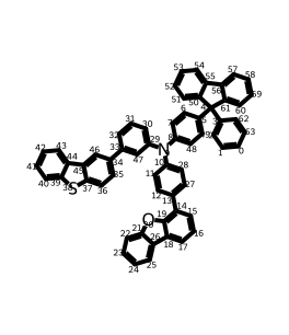 c1ccc(C2(c3ccc(N(c4ccc(-c5cccc6c5oc5ccccc56)cc4)c4cccc(-c5ccc6sc7ccccc7c6c5)c4)cc3)c3ccccc3-c3ccccc32)cc1